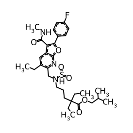 CCc1cc2c(C(=O)NC)c(-c3ccc(F)cc3)oc2nc1CN(CCCC(CC)(CC)C(=O)OCC(C)C)[SH](=O)=O